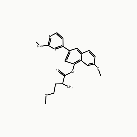 CNc1nccc(-c2cc(NC(=O)C(N)CCOC)c3cc(OC)ccc3c2)n1